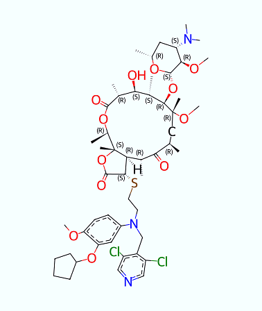 COc1ccc(N(CCS[C@@H]2C(=O)O[C@@]3(C)[C@H]2[C@@H](C)C(=O)[C@H](C)C[C@@](C)(OC)[C@H](O[C@@H]2O[C@H](C)C[C@H](N(C)C)[C@H]2OC)[C@@H](C)[C@H](O)[C@@H](C)C(=O)O[C@@H]3C)Cc2c(Cl)cncc2Cl)cc1OC1CCCC1